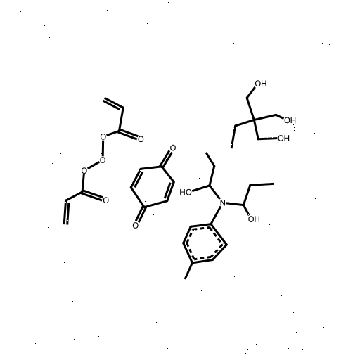 C=CC(=O)OOOC(=O)C=C.CCC(CO)(CO)CO.CCC(O)N(c1ccc(C)cc1)C(O)CC.O=C1C=CC(=O)C=C1